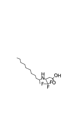 CCCCCCCCCC(C)NC(CC(=O)O)C(F)(F)F